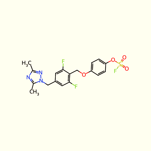 Cc1nc(C)n(Cc2cc(F)c(COc3ccc(OS(=O)(=O)F)cc3)c(F)c2)n1